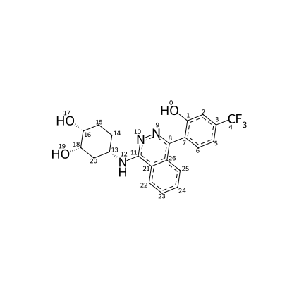 Oc1cc(C(F)(F)F)ccc1-c1nnc(N[C@H]2CC[C@@H](O)[C@@H](O)C2)c2ccccc12